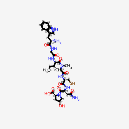 CC[C@H](C)[C@H](NC(=O)CNC(=O)[C@@H](N)Cc1c[nH]c2ccccc12)C(=O)N(C)CC(=O)N[C@@H](CS)C(=O)N[C@@H](CC(N)=O)C(=O)N1C[C@H](O)C[C@H]1C(=O)O